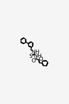 O=C(NC(=S)NCc1cccc(-c2ccccc2)c1)c1cc2ccccc2o1